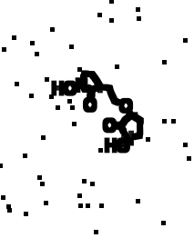 O=C1[C](CCO[C]2CCN(O)C2=O)CCN1O